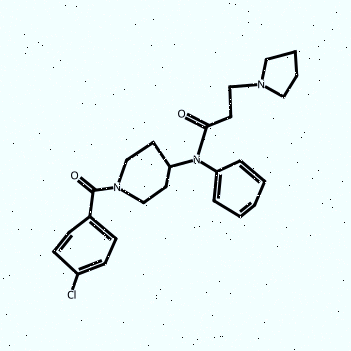 O=C(c1ccc(Cl)cc1)N1CCC(N(C(=O)CCN2CCCC2)c2ccccc2)CC1